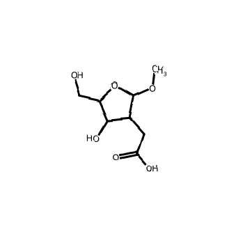 COC1OC(CO)C(O)C1CC(=O)O